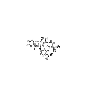 CCN(c1ccc(N=C2C=C(Nc3ccc(N(CC)C(C)C)cc3)C(=O)C=C2Nc2ccccc2)cc1)C(C)C